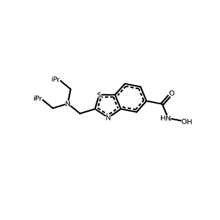 CC(C)CN(Cc1nc2cc(C(=O)NO)ccc2s1)CC(C)C